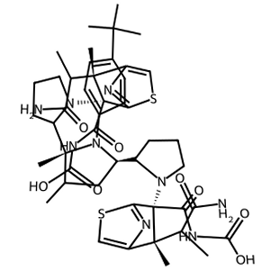 CC1C[C@H](C2CCCN2[C@@]2(C(=O)NC(=O)O)c3nc(cs3)[C@@]2(C)C(C)C(N)=O)N(c2ccc(C(C)(C)C)cc2)[C@@]1(C)C1CCCN1[C@@]1(C(=O)NC(=O)O)c2nc(cs2)[C@@]1(C)C(C)C(N)=O